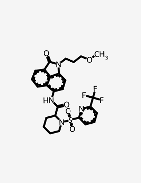 COCCCN1C(=O)c2cccc3c(NC(=O)C4CCCCN4S(=O)(=O)c4cccc(C(F)(F)F)n4)ccc1c23